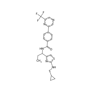 CCC(NC(=O)c1ccc(-c2cncc(C(F)(F)F)n2)cc1)c1csc(NSC2CC2)n1